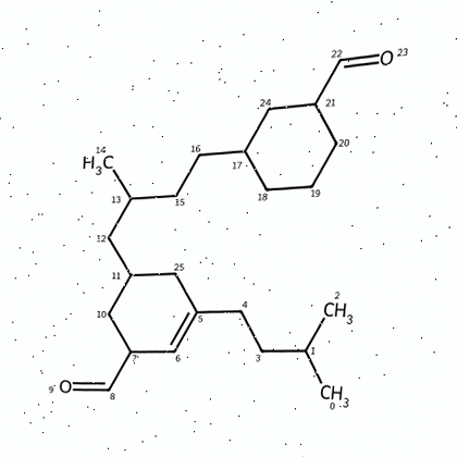 CC(C)CCC1=CC(C=O)CC(CC(C)CCC2CCCC(C=O)C2)C1